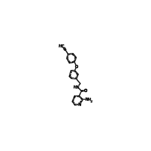 C#Cc1ccc(Oc2cccc(CNC(=O)c3cccnc3N)c2)cc1